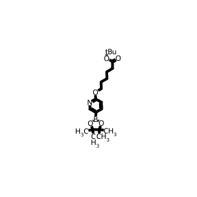 CC(C)(C)OC(=O)CCCCCOc1ccc(B2OC(C)(C)C(C)(C)O2)cn1